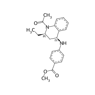 CC[C@@H]1C[C@H](Nc2ccc(C(=O)OC)cc2)c2ccccc2N1C(C)=O